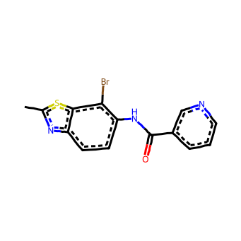 Cc1nc2ccc(NC(=O)c3cccnc3)c(Br)c2s1